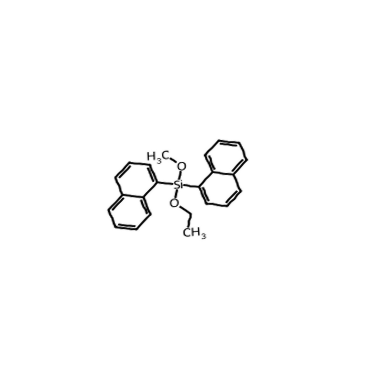 CCO[Si](OC)(c1cccc2ccccc12)c1cccc2ccccc12